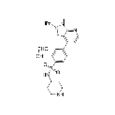 CC(C)c1cc2c(-c3ccc(S(=O)(=O)NC4CCNCC4)cc3)ccnc2[nH]1.O=CO